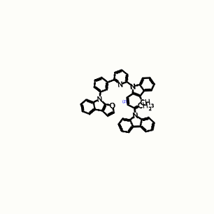 C=C(/C=C\c1c(C)c2ccccc2n1-c1cccc(-c2cccc(-n3c4ccccc4c4ccoc43)c2)n1)n1c2ccccc2c2ccccc21